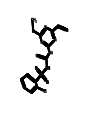 COc1nc(C=O)nc(NC(=O)NS(=O)(=O)c2ccccc2Cl)n1